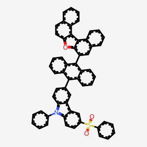 O=S(=O)(c1ccccc1)c1ccc2c(c1)c1cc(-c3c4ccccc4c(-c4cc5ccccc5c5c4oc4ccc6ccccc6c45)c4ccccc34)ccc1n2-c1ccccc1